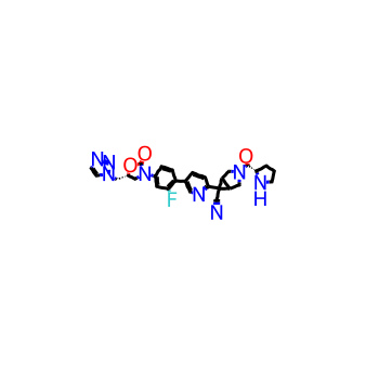 N#CC1(c2ccc(-c3ccc(N4C[C@H](Cn5ccnn5)OC4=O)cc3F)cn2)C2CN(C(=O)[C@@H]3CCCN3)CC21